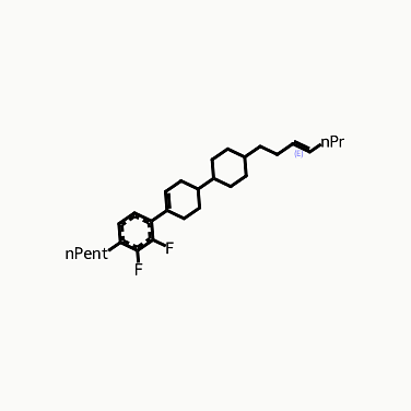 CCC/C=C/CCC1CCC(C2CC=C(c3ccc(CCCCC)c(F)c3F)CC2)CC1